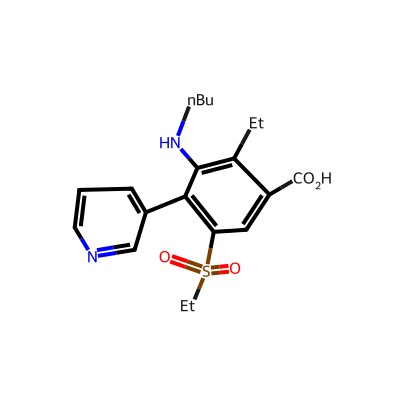 CCCCNc1c(CC)c(C(=O)O)cc(S(=O)(=O)CC)c1-c1cccnc1